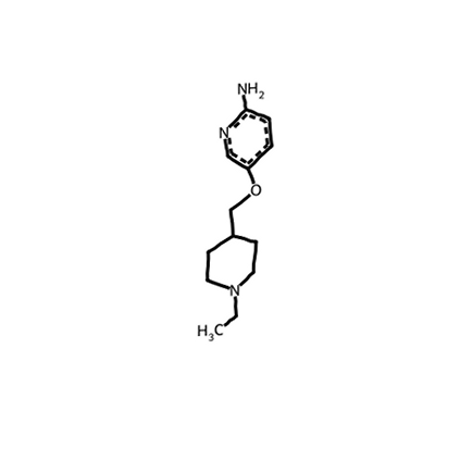 CCN1CCC(COc2ccc(N)nc2)CC1